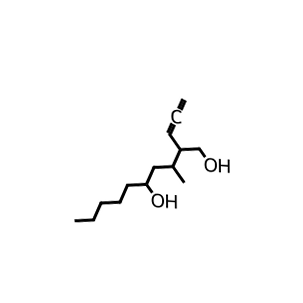 C=C=CC(CO)C(C)CC(O)CCCCC